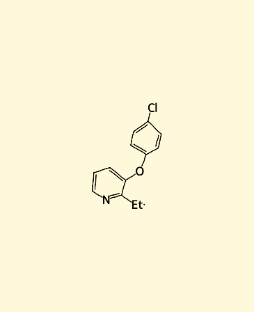 C[CH]c1ncccc1Oc1ccc(Cl)cc1